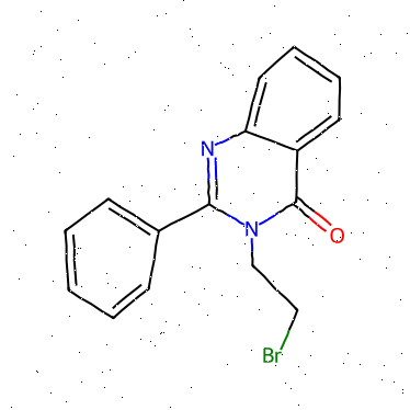 O=c1c2ccccc2nc(-c2ccccc2)n1CCBr